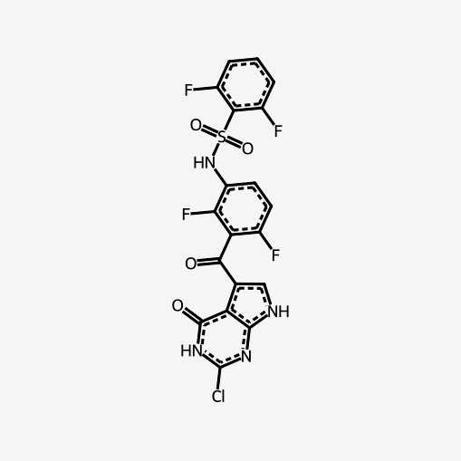 O=C(c1c(F)ccc(NS(=O)(=O)c2c(F)cccc2F)c1F)c1c[nH]c2nc(Cl)[nH]c(=O)c12